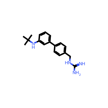 CC(C)(C)Nc1cccc(-c2ccc(CNC(=N)N)cc2)c1